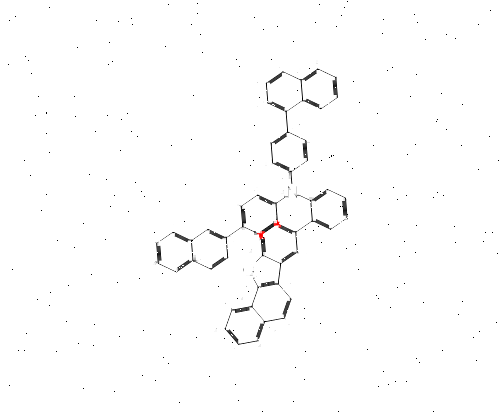 c1ccc(N(c2ccc(-c3ccc4ccccc4c3)cc2)c2ccc(-c3cccc4ccccc34)cc2)c(-c2ccc3oc4c5ccccc5ccc4c3c2)c1